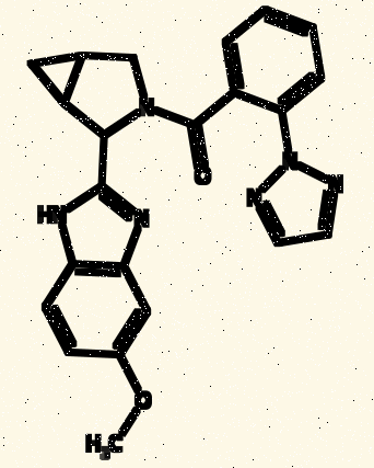 COc1ccc2[nH]c(C3C4CC4CN3C(=O)c3ccccc3-n3nccn3)nc2c1